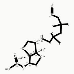 CC(C)(CN=O)CC(C)(C)CN[C@H]1CO[C@@]2(C)[C@@H]1OC[C@H]2O[N+](=O)[O-]